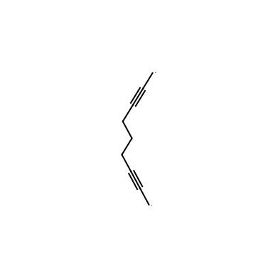 [CH2]C#CCCCC#C[CH2]